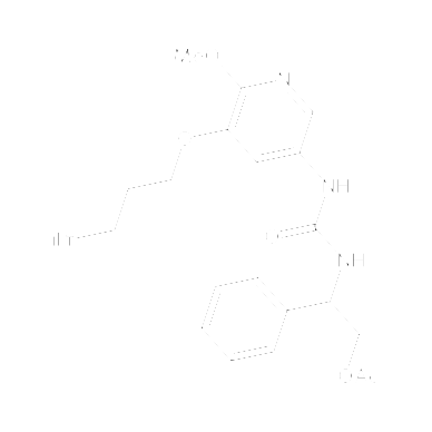 COc1ncc(NC(=O)NC(COC(C)=O)c2ccccc2)cc1OCCCC(C)C